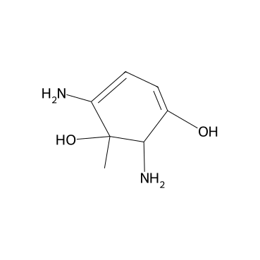 CC1(O)C(N)=CC=C(O)C1N